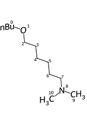 CCCCOCCCCCCN(C)C